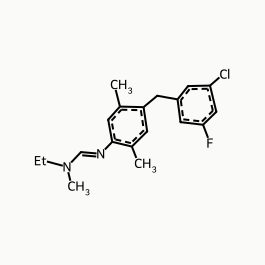 CCN(C)C=Nc1cc(C)c(Cc2cc(F)cc(Cl)c2)cc1C